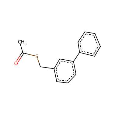 CC(=O)SCc1[c]c(-c2ccccc2)ccc1